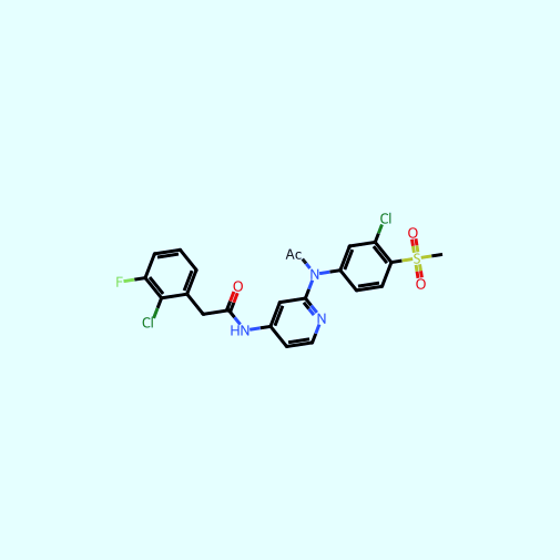 CC(=O)N(c1ccc(S(C)(=O)=O)c(Cl)c1)c1cc(NC(=O)Cc2cccc(F)c2Cl)ccn1